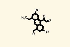 CCc1cc(O)cc2c(C(=O)C=O)c3cc(O)cc(CCl)c3cc12